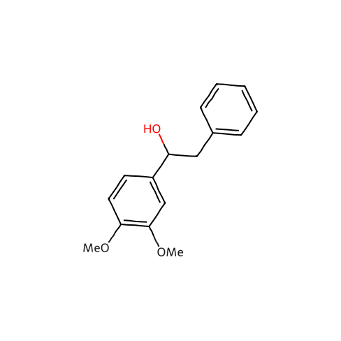 COc1ccc(C(O)Cc2ccccc2)cc1OC